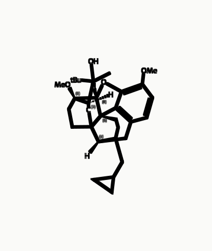 COc1ccc2c3c1O[C@H]1[C@@]4(OC)CCC5(C[C@@H]4C(C)(O)C(C)(C)C)[C@@H](C2)C(CC2CC2)CC[C@]315